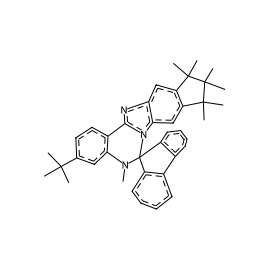 CN1c2cc(C(C)(C)C)ccc2-c2nc3cc4c(cc3n2C12c1ccccc1-c1ccccc12)C(C)(C)C(C)(C)C4(C)C